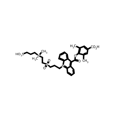 Cc1cc(C(=O)O)cc(C)c1OC(=O)c1c2ccccc2[n+](CCCS(=O)(=O)CC[N+](C)(C)CCCS(=O)(=O)O)c2ccccc12